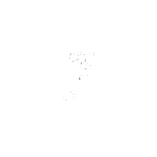 CCCOc1nc2c(N)nc3ccccc3c2n1CC(C)(C)OCCNC(=O)C(C)N